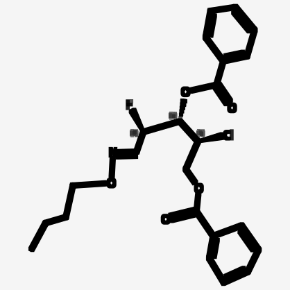 CCCCON=C[C@@H](F)[C@H](OC(=O)c1ccccc1)[C@@H](Cl)COC(=O)c1ccccc1